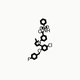 Cc1ccc(-c2cc(Cl)ccc2OCc2ccc(F)cc2)n1-c1cccc(C(=O)NS(=O)(=O)c2ccccc2)c1